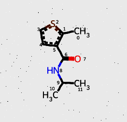 Cc1sccc1C(=O)NC(C)C